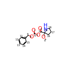 CO[C@@]1(C(=O)OC(=O)OCc2ccccc2)CCCN1